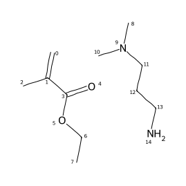 C=C(C)C(=O)OCC.CN(C)CCCN